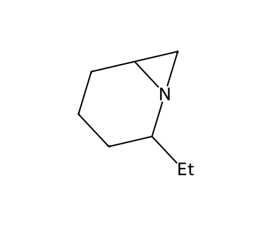 CCC1CCCC2CN12